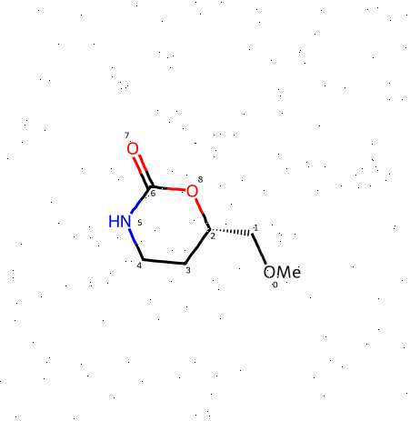 COC[C@@H]1CCNC(=O)O1